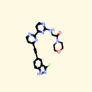 O=C(CNc1nccc(-c2nccc(C#Cc3ccc4[nH]nc(F)c4c3)n2)n1)N1CCOCC1